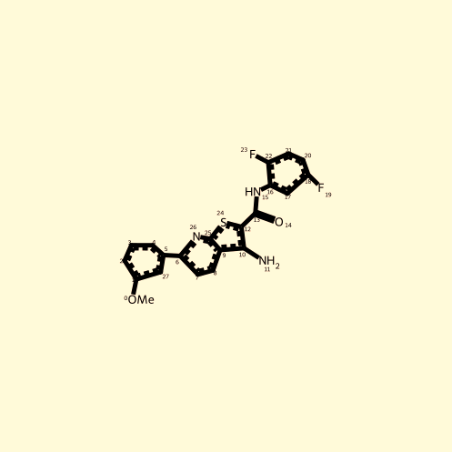 COc1cccc(-c2ccc3c(N)c(C(=O)Nc4cc(F)ccc4F)sc3n2)c1